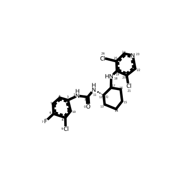 O=C(Nc1ccc(F)c(Cl)c1)N[C@H]1CCCCC1Nc1c(Cl)cncc1Cl